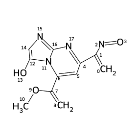 C=C(N=O)c1cc(C(=C)OC)n2c(O)cnc2n1